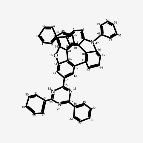 c1ccc(-c2ccc3c(c2)c2c(-c4cc(-c5nc(-c6ccccc6)nc(-c6ccccc6)n5)cc5oc6ccccc6c45)cccc2n3-c2ccccc2)cc1